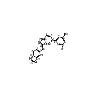 Fc1cc(F)cc(-c2ccc3nnc(Cc4ccc5ncsc5c4)n3n2)c1